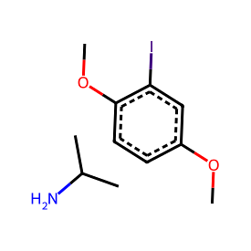 CC(C)N.COc1ccc(OC)c(I)c1